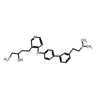 CCC(O)CCc1cnccc1Oc1ccc(-c2cccc(CCN(C)C)c2)cc1